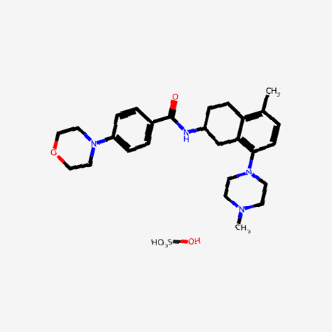 Cc1ccc(N2CCN(C)CC2)c2c1CCC(NC(=O)c1ccc(N3CCOCC3)cc1)C2.O=S(=O)(O)O